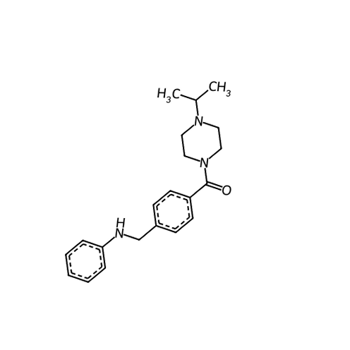 CC(C)N1CCN(C(=O)c2ccc(CNc3ccccc3)cc2)CC1